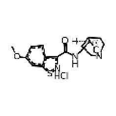 COc1ccc2c(C(=O)N[C@@H]3CN4CCC3CC4)nsc2c1.Cl